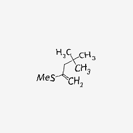 C=C(CC(C)(C)C)SC